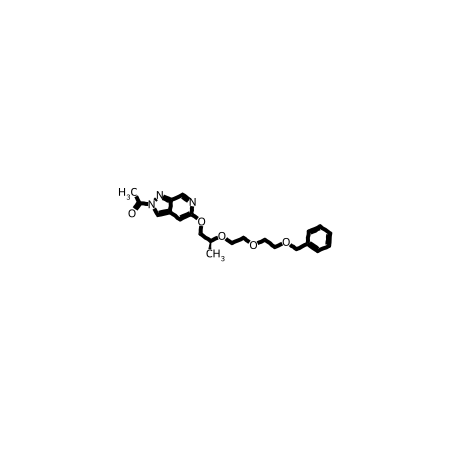 CC(=O)n1cc2cc(OC[C@H](C)OCCOCCOCc3ccccc3)ncc2n1